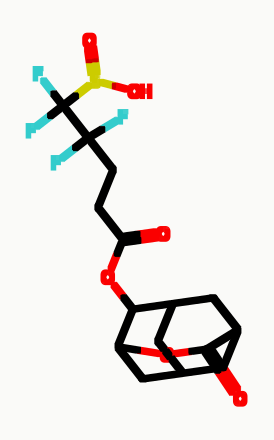 O=C(CCC(F)(F)C(F)(F)S(=O)O)OC1C2CC3CC(C2)C(=O)OC1C3